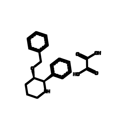 O=C(O)C(=O)O.c1ccc(CO[C@@H]2CCCN[C@@H]2c2ccccc2)cc1